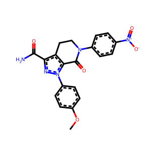 COc1ccc(-n2nc(C(N)=O)c3c2C(=O)N(c2ccc([N+](=O)[O-])cc2)CC3)cc1